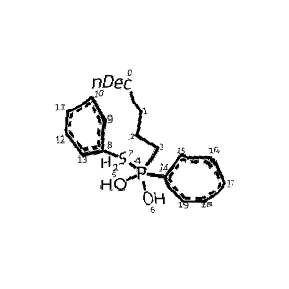 CCCCCCCCCCCCCP(O)(O)([SH2]c1ccccc1)c1ccccc1